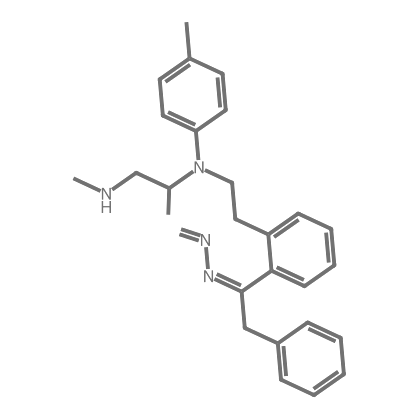 C=N/N=C(/Cc1ccccc1)c1ccccc1CCN(c1ccc(C)cc1)C(C)CNC